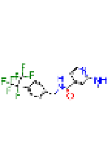 CNc1cc(C(=O)NCc2ccc(C(F)(C(F)(F)F)C(F)(F)F)cc2)ccn1